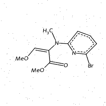 COC=C(C(=O)OC)N(C)c1cccc(Br)n1